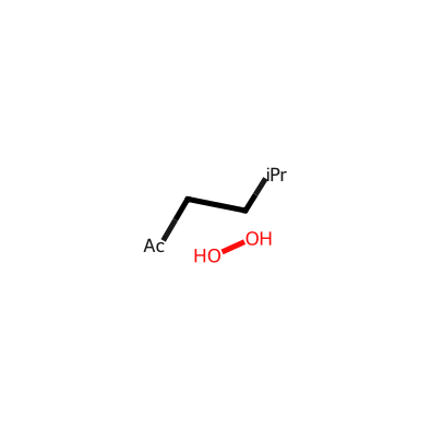 CC(=O)CCC(C)C.OO